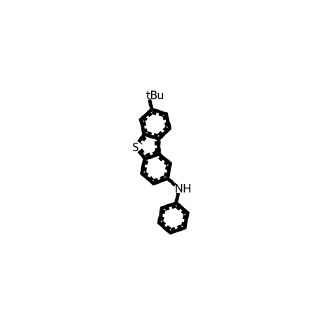 CC(C)(C)c1ccc2c(c1)sc1ccc(Nc3ccccc3)cc12